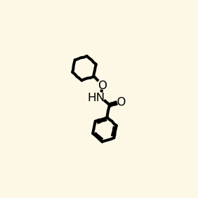 O=C(NOC1CCCCC1)c1ccccc1